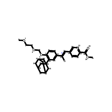 COCCOCOc1ccc(/C(C)=C/c2ccc(C(=O)OC)nc2)cc1C12CC3CC(CC(C3)C1)C2